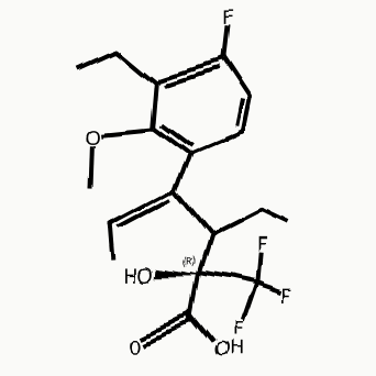 CC=C(c1ccc(F)c(CC)c1OC)C(CC)[C@@](O)(C(=O)O)C(F)(F)F